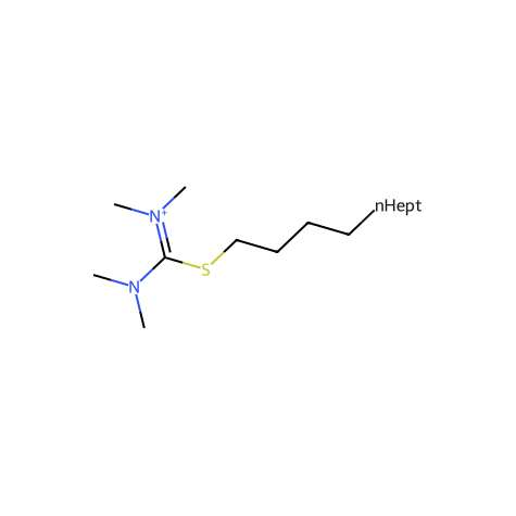 CCCCCCCCCCCSC(N(C)C)=[N+](C)C